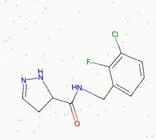 O=C(NCc1cccc(Cl)c1F)C1CC=NN1